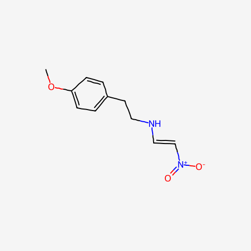 COc1ccc(CCNC=C[N+](=O)[O-])cc1